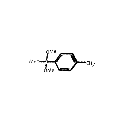 [CH2]c1ccc([Si](OC)(OC)OC)cc1